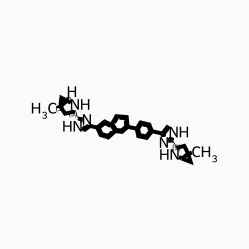 CC12CC1N[C@H](c1nc(-c3ccc(-c4ccc5cc(-c6c[nH]c([C@@H]7C[C@]8(C)C[C@@H]8N7)n6)ccc5c4)cc3)c[nH]1)C2